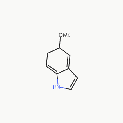 COC1C=c2cc[nH]c2=CC1